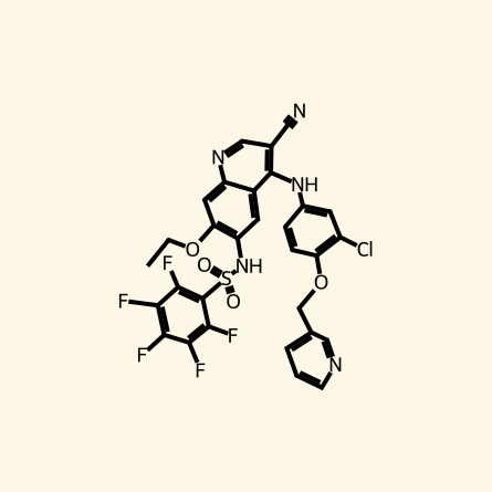 CCOc1cc2ncc(C#N)c(Nc3ccc(OCc4cccnc4)c(Cl)c3)c2cc1NS(=O)(=O)c1c(F)c(F)c(F)c(F)c1F